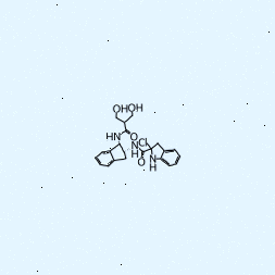 O=C(N[C@H]1c2ccccc2C[C@H]1NC(=O)C1(Cl)Cc2ccccc2N1)C(CO)CO